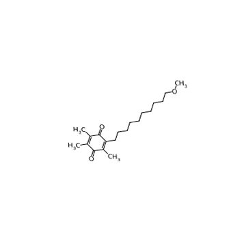 COCCCCCCCCCCC1=C(C)C(=O)C(C)=C(C)C1=O